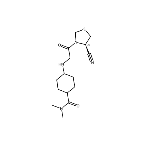 CN(C)C(=O)C1CCC(NCC(=O)N2CSC[C@H]2C#N)CC1